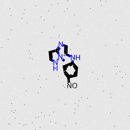 C[N+]12NC=CC1=NC=C2Nc1ccc(N=O)cc1